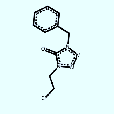 O=c1n(CCCl)nnn1Cc1ccccc1